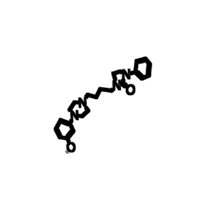 COc1cccc(N2CCN(CCCCN3CCN(c4ccccc4)C3=O)CC2)c1